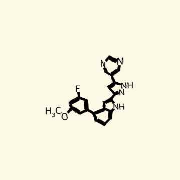 COc1cc(F)cc(-c2cccc3[nH]c(-c4cc(-c5cncnc5)[nH]n4)cc23)c1